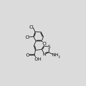 Nc1nc(C(=Cc2c(Cl)ccc(Cl)c2Cl)C(=O)O)cs1